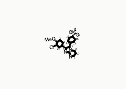 COc1ccc(-c2nc3ncccn3c2-c2ccc(S(C)(=O)=O)cc2)cc1Cl